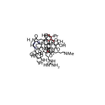 CNCCCC[C@H](NC(=O)[C@@H](NC(=O)[C@H](CC(C)C)NC(=O)[C@H](CCC(N)=O)NC(=O)[C@H](CCC(N)=O)NC(=O)[C@@H](N)C(C)C)[C@@H](C)O)C(=O)N[C@@H](CCCNC(=N)N)C(=O)N[C@H]1C/C(C)=C/C=C\C=[N+](\[C@@H](CO)C(=O)N[C@@H](CC(C)C)C(N)=O)C1=O